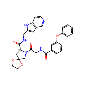 O=C(NCC(=O)N1CC2(C[C@H]1C(=O)NCc1cc3cnccc3[nH]1)OCCO2)c1cccc(Oc2ccccc2)c1